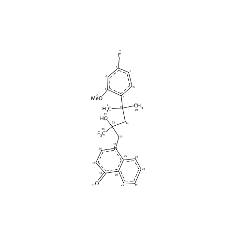 COc1cc(F)ccc1C(C)(C)CC(O)(Cn1ccc(=O)c2ccccc21)C(F)(F)F